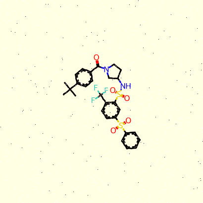 CC(C)(C)c1ccc(C(=O)N2CCC(NS(=O)(=O)c3cc(S(=O)(=O)c4ccccc4)ccc3C(F)(F)F)C2)cc1